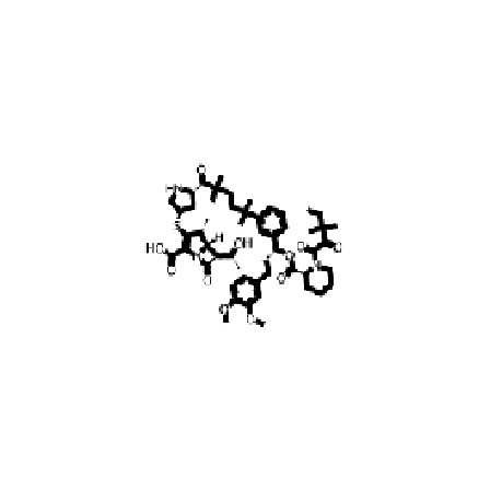 CCC(C)(C)C(=O)C(=O)N1CCCC[C@H]1C(=O)O[C@H](CCc1ccc(OC)c(OC)c1)c1cccc(C(C)(C)CCC(C)(C)C(=O)[C@@H]2C[C@H](SC3=C(C(=O)O)N4C(=O)[C@H]([C@@H](C)O)[C@H]4[C@H]3C)CN2)c1